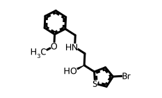 COc1ccccc1CNC[C@H](O)c1cc(Br)cs1